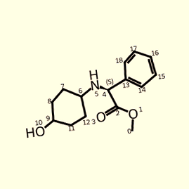 COC(=O)[C@@H](NC1CCC(O)CC1)c1ccccc1